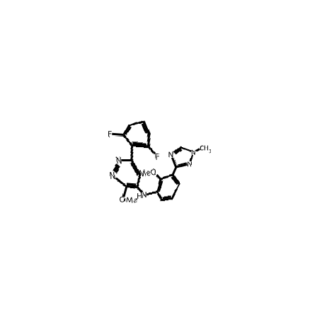 COc1nnc(-c2c(F)cccc2F)cc1Nc1cccc(-c2ncn(C)n2)c1OC